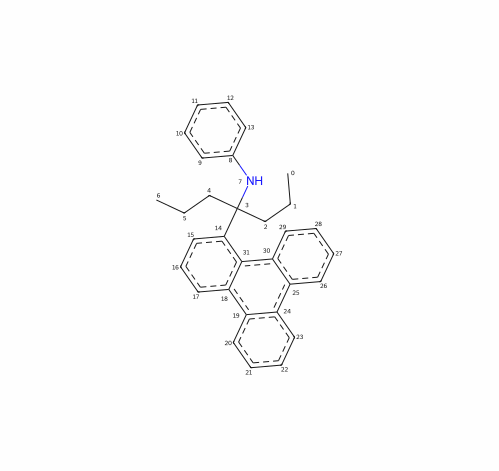 CCCC(CCC)(Nc1ccccc1)c1cccc2c3ccccc3c3ccccc3c12